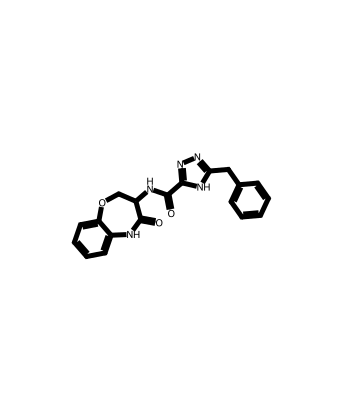 O=C(NC1COc2ccccc2NC1=O)c1nnc(Cc2ccccc2)[nH]1